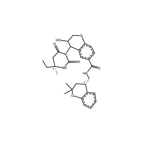 CC[C@@]1(C)CC(=O)N(C2c3cc(C(=O)NC[C@H]4CC(C)(C)Oc5ccccc54)ccc3OCC2O)C(=N)N1